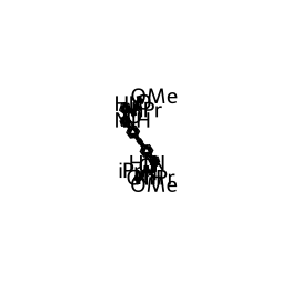 CCCN(Cc1ncc(-c2ccc(C#Cc3ccc(-c4cnc([C@@H]5CCCN5C(=O)[C@@H](NC(=O)OC)C(C)C)[nH]4)cc3)cc2)[nH]1)C(=O)[C@@H](NC(=O)OC)C(C)C